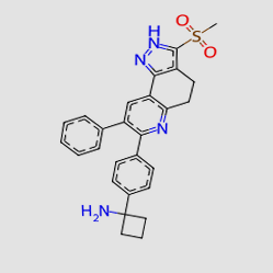 CS(=O)(=O)c1[nH]nc2c1CCc1nc(-c3ccc(C4(N)CCC4)cc3)c(-c3ccccc3)cc1-2